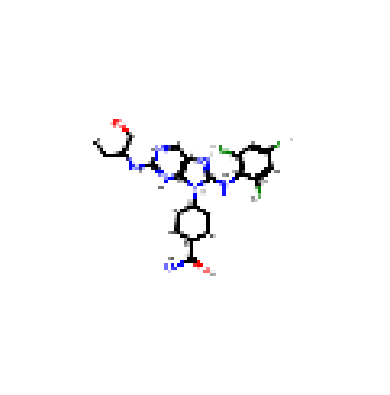 CCC(CO)Nc1ncc2nc(Nc3c(F)cc(Cl)cc3F)n(C3CCC(C(N)=O)CC3)c2n1